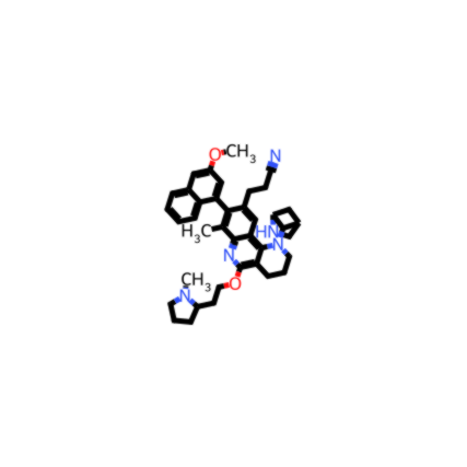 COc1cc(-c2c(CCC#N)cc3c4c(c(OCCC5CCCN5C)nc3c2C)CCCN4C2C3CNC2C3)c2ccccc2c1